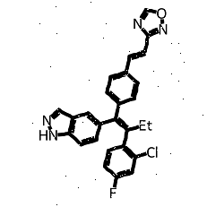 CCC(=C(c1ccc(C=Cc2ncon2)cc1)c1ccc2[nH]ncc2c1)c1ccc(F)cc1Cl